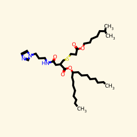 CCCCCCCCC(CCCCCCCC)OC(=O)C(CSCCC(=O)OCCCCCC(C)C)CC(=O)NCCCn1ccnc1